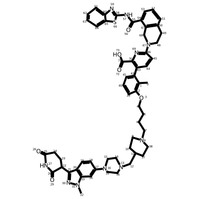 Cc1c(OCCCCN2CCC(CN3CCN(c4ccc5c(C6CCC(=O)NC6=O)nn(C)c5c4)CC3)CC2)cccc1-c1ccc(N2CCc3cccc(C(=O)Nc4nc5ccccc5s4)c3C2)nc1C(=O)O